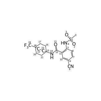 CS(=O)(=O)Nc1ccc(C#N)cc1C(=O)NC12CCC(C(F)(F)F)(CC1)CC2